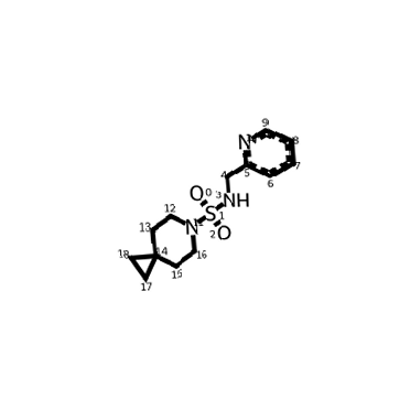 O=S(=O)(NCc1ccccn1)N1CCC2(CC1)CC2